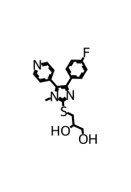 Cn1c(SCC(O)CO)nc(-c2ccc(F)cc2)c1-c1ccncc1